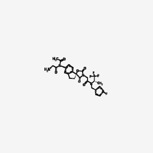 CC(=O)N(C(=O)CN)c1ccc2c(c1)CC[C@@]21OC(=O)N(CC(=O)N(Cc2ccc(F)cc2)[C@@H](C)C(F)(F)F)C1=O